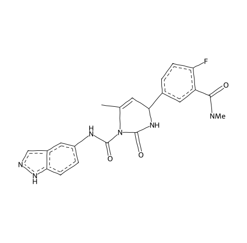 CNC(=O)c1cc(C2C=C(C)N(C(=O)Nc3ccc4[nH]ncc4c3)C(=O)N2)ccc1F